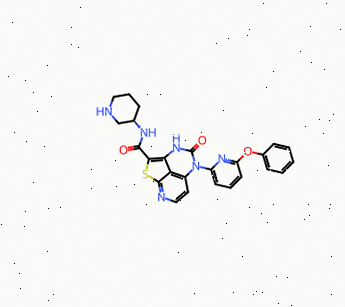 O=C(N[C@@H]1CCCNC1)c1sc2nccc3c2c1NC(=O)N3c1cccc(Oc2ccccc2)n1